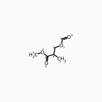 COC(=O)C(C)COC=O